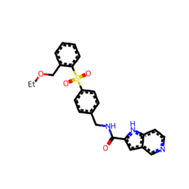 CCOCc1ccccc1S(=O)(=O)c1ccc(CNC(=O)c2cc3cnccc3[nH]2)cc1